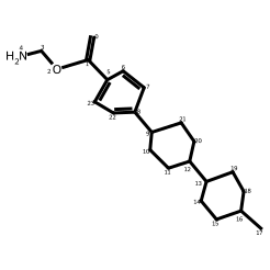 C=C(OCN)c1ccc(C2CCC(C3CCC(C)CC3)CC2)cc1